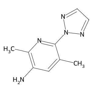 Cc1cc(N)c(C)nc1-n1nccn1